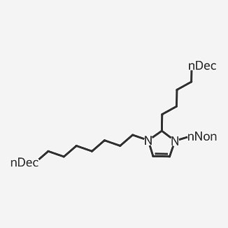 CCCCCCCCCCCCCCCCCN1C=CN(CCCCCCCCC)C1CCCCCCCCCCCCCC